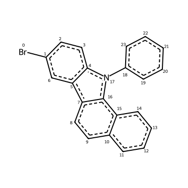 Brc1ccc2c(c1)c1ccc3ccccc3c1n2-c1ccccc1